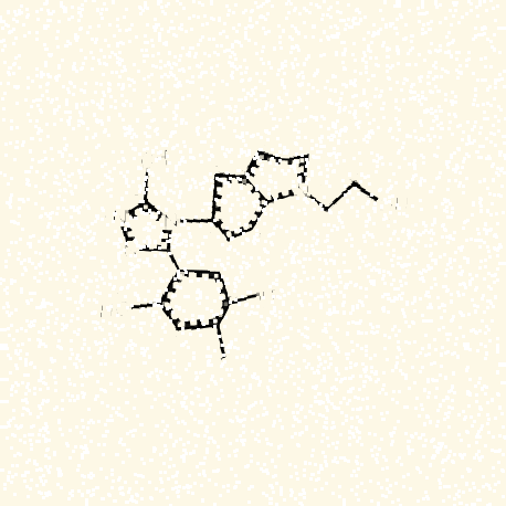 Cc1cc(O)c(-c2nnc(O)n2-c2ccc3c(ccn3CCO)c2)cc1C(C)C